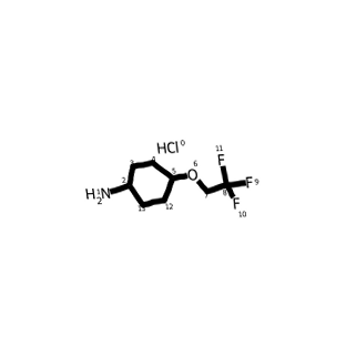 Cl.NC1CCC(OCC(F)(F)F)CC1